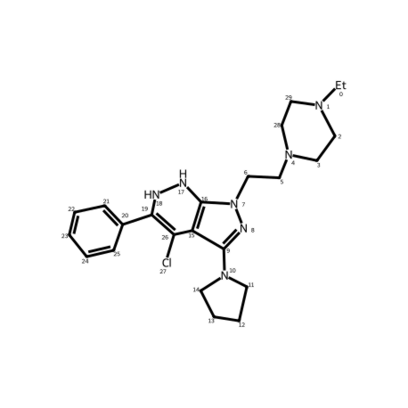 CCN1CCN(CCn2nc(N3CCCC3)c3c2NNC(c2ccccc2)=C3Cl)CC1